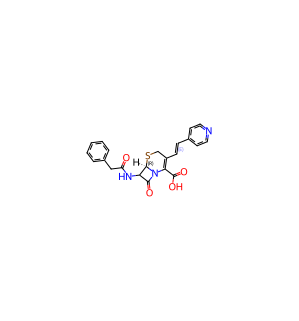 O=C(Cc1ccccc1)NC1C(=O)N2C(C(=O)O)=C(/C=C/c3ccncc3)CS[C@H]12